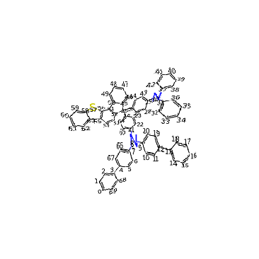 c1ccc(-c2ccc(N(c3ccc(-c4ccccc4)cc3)c3ccc(C4(c5ccc(N(c6ccccc6)c6ccccc6)cc5)c5ccccc5-c5c4ccc4c5sc5ccccc54)cc3)cc2)cc1